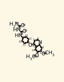 COc1cc2nccc(Oc3ccc(NC(=O)NC(N)=O)cc3)c2cc1OC